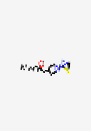 COC(=O)CC1CCN(c2nccs2)CC1